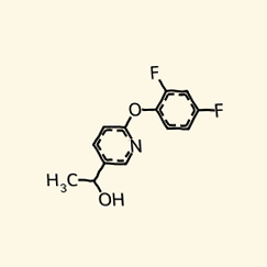 CC(O)c1ccc(Oc2ccc(F)cc2F)nc1